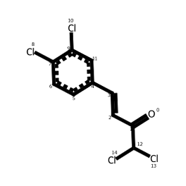 O=C(/C=C/c1ccc(Cl)c(Cl)c1)C(Cl)Cl